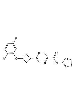 O=C(Nc1ccsc1)c1cnc(N2CC(Oc3cc(F)ccc3Br)C2)cn1